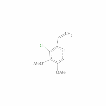 C=Cc1ccc(OC)c(OC)c1Cl